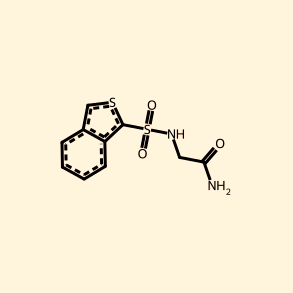 NC(=O)CNS(=O)(=O)c1scc2ccccc12